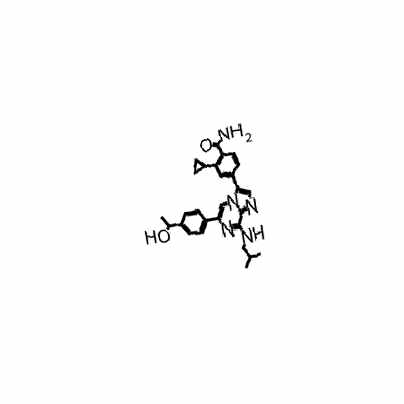 CC(C)CNc1nc(-c2ccc(C(C)O)cc2)cn2c(-c3ccc(C(N)=O)c(C4CC4)c3)cnc12